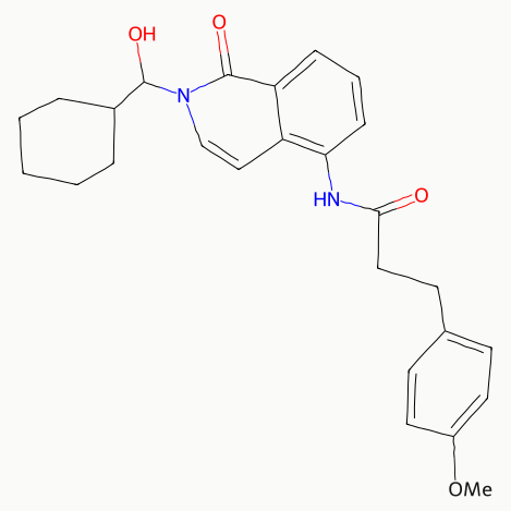 COc1ccc(CCC(=O)Nc2cccc3c(=O)n(C(O)C4CCCCC4)ccc23)cc1